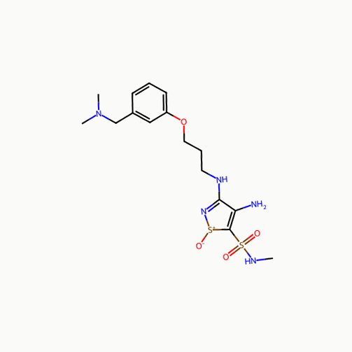 CNS(=O)(=O)c1c(N)c(NCCCOc2cccc(CN(C)C)c2)n[s+]1[O-]